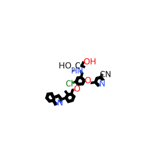 Cc1c(COc2cc(OCc3cncc(C#N)c3)c(CNC(C)(CO)C(=O)O)cc2Cl)cccc1-c1cc2ccccc2cn1